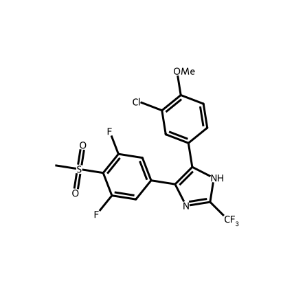 COc1ccc(-c2[nH]c(C(F)(F)F)nc2-c2cc(F)c(S(C)(=O)=O)c(F)c2)cc1Cl